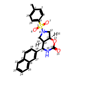 Cc1ccc(S(=O)(=O)N2C[C@H]3[C@@H](C2)OC(=O)N[C@H]3c2ccc3ccccc3c2)cc1